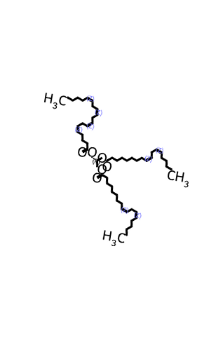 CCCCC/C=C\C/C=C\C/C=C\C/C=C\CCCC(=O)OC[C@@H](COC(=O)CCCCCCC/C=C\C/C=C\CCCCC)OC(=O)CCCCCCC/C=C\C/C=C\CCCCC